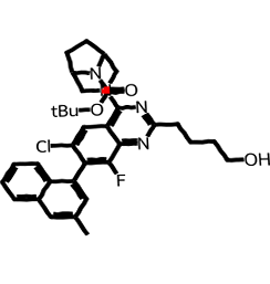 Cc1cc(-c2c(Cl)cc3c(N4CC5CCC(C4)N5C(=O)OC(C)(C)C)nc(CCCCO)nc3c2F)c2ccccc2c1